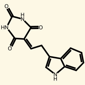 O=C1NC(=O)C(=CCc2c[nH]c3ccccc23)C(=O)N1